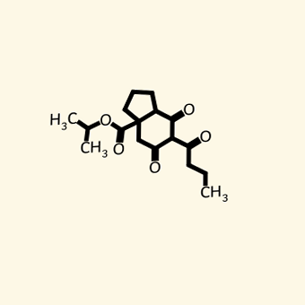 CCCC(=O)C1C(=O)CC2(C(=O)OC(C)C)CCCC2C1=O